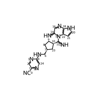 N#Cc1cnc(NC[C@H]2CC[C@@H](C(=N)n3c(=N)cnc4[nH]ccc43)C2)cn1